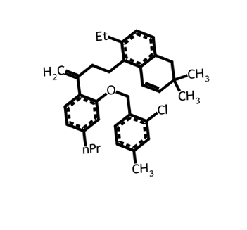 C=C(CCc1c(CC)ccc2c1C=CC(C)(C)C2)c1ccc(CCC)cc1OCc1ccc(C)cc1Cl